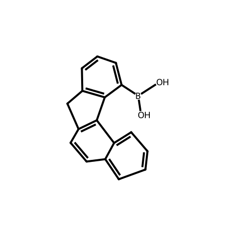 OB(O)c1cccc2c1-c1c(ccc3ccccc13)C2